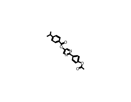 CC(=O)Oc1ccc(-c2ncc(OC(=O)c3ccc(C(C)C)cc3)cn2)cc1